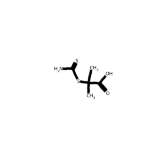 CC(C)(SC(N)=S)C(=O)O